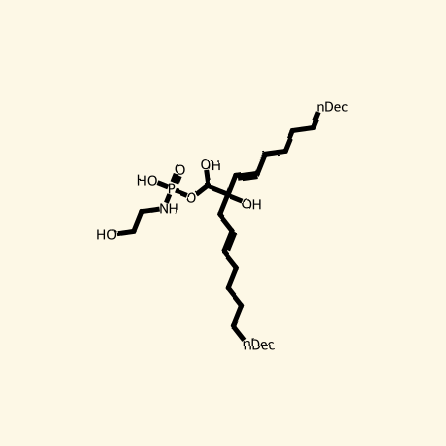 CCCCCCCCCCCCCCC=CCC(O)(C=CCCCCCCCCCCCCCC)C(O)OP(=O)(O)NCCO